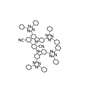 N#Cc1cccc(-c2ccc(-n3c4ccc(-c5nc(-c6ccccc6)nc(-c6ccccc6)n5)cc4c4cc(-c5nc(-c6ccccc6)nc(-c6ccccc6)n5)ccc43)c(C#N)c2-n2c3ccc(-c4nc(-c5ccccc5)nc(-c5ccccc5)n4)cc3c3cc(-c4nc(-c5ccccc5)nc(-c5ccccc5)n4)ccc32)c1